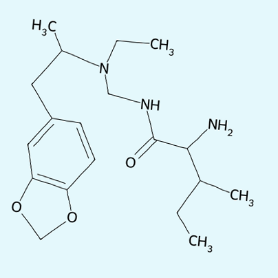 CCC(C)C(N)C(=O)NCN(CC)C(C)Cc1ccc2c(c1)OCO2